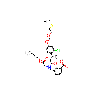 CCCCOC(=O)CN(Cc1cccc(C(=O)O)c1)C(=O)CC(C)c1ccc(OCOCCSC)cc1Cl